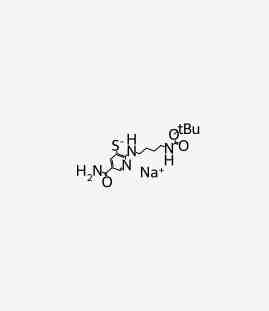 CC(C)(C)OC(=O)NCCCCNc1ncc(C(N)=O)cc1[S-].[Na+]